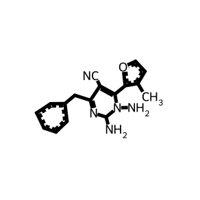 Cc1ccoc1C1=C(C#N)C(Cc2ccccc2)=NC(N)N1N